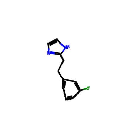 Clc1cccc(CCc2ncc[nH]2)c1